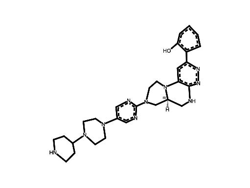 Oc1ccccc1-c1cc2c(nn1)NC[C@H]1CN(c3ncc(N4CCN(C5CCNCC5)CC4)cn3)CCN21